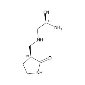 N#C[C@@H](N)CNC[C@@H]1CCNC1=O